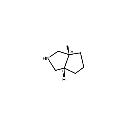 C[C@@]12CCC[C@@H]1CNC2